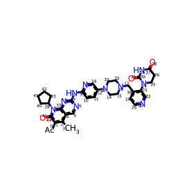 CC(=O)c1c(C)c2cnc(Nc3ccc(N4CCN(Cc5ccncc5N5CCC(=O)NC5=O)CC4)cn3)nc2n(C2CCCC2)c1=O